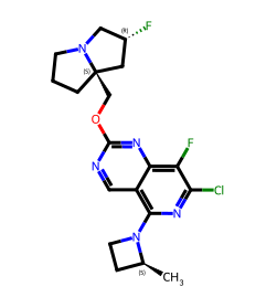 C[C@H]1CCN1c1nc(Cl)c(F)c2nc(OC[C@@]34CCCN3C[C@H](F)C4)ncc12